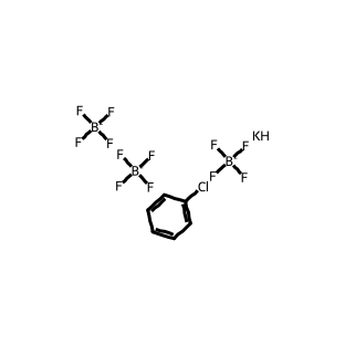 Clc1ccccc1.F[B-](F)(F)F.F[B-](F)(F)F.F[B-](F)(F)F.[KH]